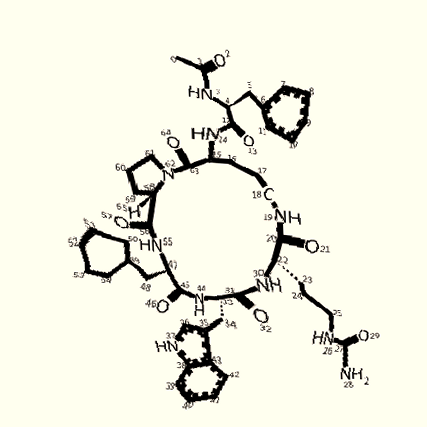 CC(=O)N[C@@H](Cc1ccccc1)C(=O)NC1CCCNC(=O)[C@H](CCCNC(N)=O)NC(=O)[C@H](Cc2c[nH]c3ccccc23)NC(=O)[C@@H](CC2CCCCC2)NC(=O)[C@@H]2CCCN2C1=O